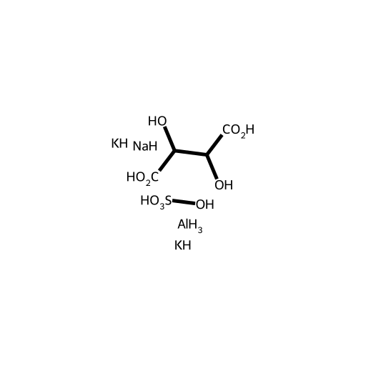 O=C(O)C(O)C(O)C(=O)O.O=S(=O)(O)O.[AlH3].[KH].[KH].[NaH]